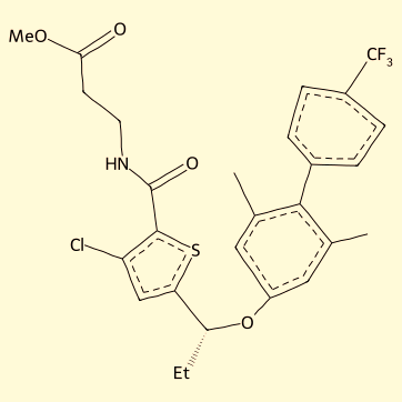 CC[C@@H](Oc1cc(C)c(-c2ccc(C(F)(F)F)cc2)c(C)c1)c1cc(Cl)c(C(=O)NCCC(=O)OC)s1